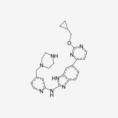 c1cc(CN2CCNCC2)cc(Nc2nc3ccc(-c4ccnc(OCC5CC5)n4)cc3[nH]2)n1